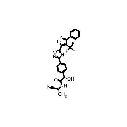 C[C@@H](C#N)NC(=O)[C@H](O)c1ccc(-c2noc(-c3onc(-c4ccccc4)c3C(F)(F)F)n2)cc1